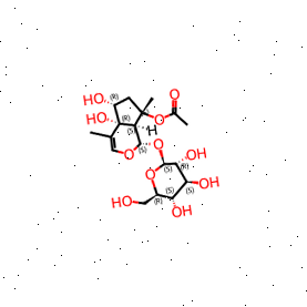 CC(=O)O[C@@]1(C)C[C@@H](O)[C@]2(O)C(C)=CO[C@@H](O[C@@H]3O[C@H](CO)[C@@H](O)[C@H](O)[C@H]3O)[C@@H]21